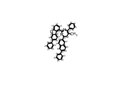 CC1=C(c2ccccc2)N=C(c2cccc3oc4cc(-c5ccccc5)ccc4c23)N=C(c2ccc3cc(-c4ccccc4)ccc3c2)C1